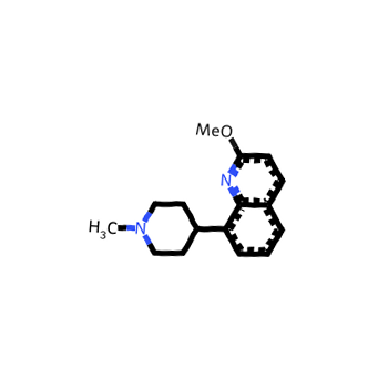 COc1ccc2cccc(C3CCN(C)CC3)c2n1